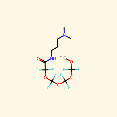 CN(C)CCCNC(=O)C(F)(F)OC(F)(F)OC(F)(F)OC(F)(F)OC(F)(F)F